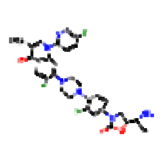 CC(=O)C(N)[C@@H]1CN(c2ccc(N3CCN(c4cc5c(cc4F)c(=O)c(C(=O)O)cn5-c4ccc(F)cn4)CC3)c(F)c2)C(=O)O1